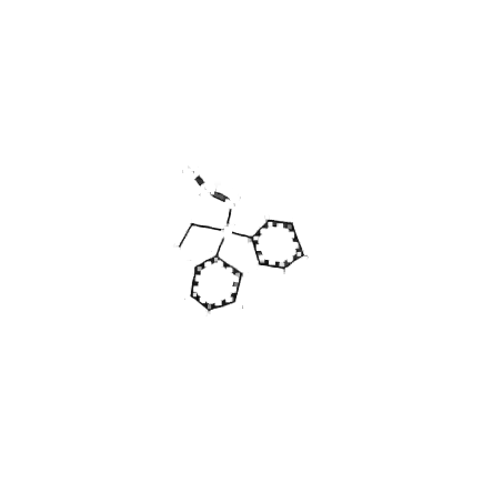 CC[P](N=[N+]=[N-])(c1ccccc1)c1ccccc1